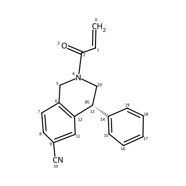 C=CC(=O)N1Cc2ccc(C#N)cc2[C@@H](c2ccccc2)C1